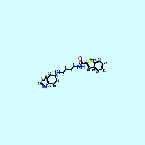 O=C(NCCCCNC1CCc2ncsc2C1)c1cc2ccccc2s1